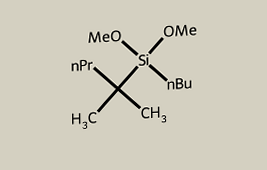 CCCC[Si](OC)(OC)C(C)(C)CCC